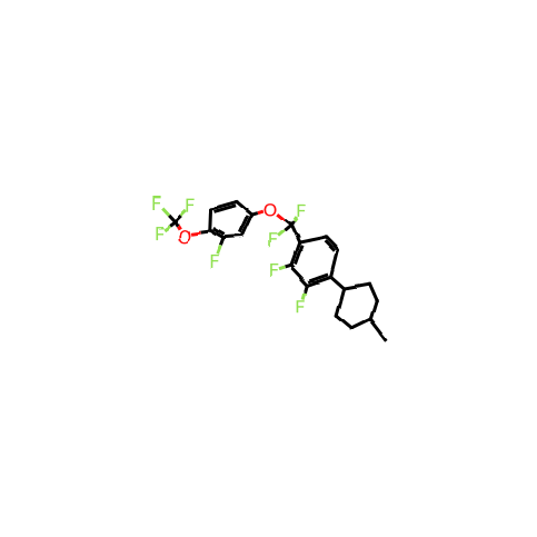 CC1CCC(c2ccc(C(F)(F)Oc3ccc(OC(F)(F)F)c(F)c3)c(F)c2F)CC1